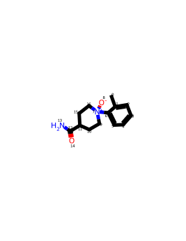 Cc1ccccc1[N+]1([O-])CCC(C(N)=O)CC1